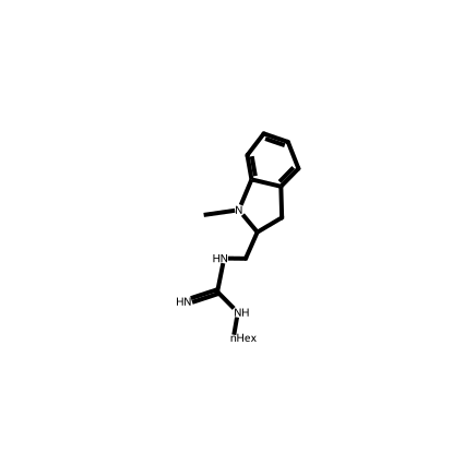 CCCCCCNC(=N)NCC1Cc2ccccc2N1C